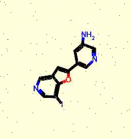 Nc1cncc(-c2cc3cncc(I)c3o2)c1